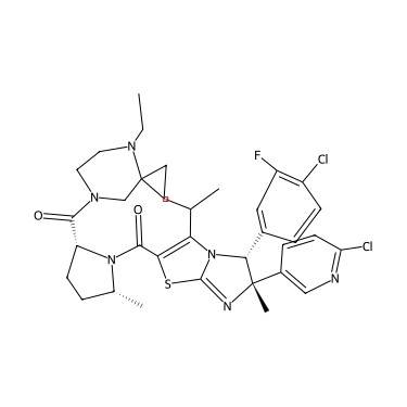 CCN1CCN(C(=O)[C@H]2CC[C@@H](C)N2C(=O)C2=C(C(C)C)N3C(=N[C@@](C)(c4ccc(Cl)nc4)[C@H]3c3ccc(Cl)c(F)c3)S2)CC12CC2